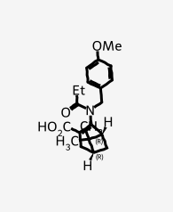 CCC(=O)N(Cc1ccc(OC)cc1)C1=C(C(=O)O)C[C@H]2C[C@@H]1C2(C)C